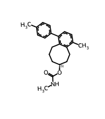 CNC(=O)O[C@H]1CCCc2c(-c3ccc(C)cc3)ccc(C)c2CC1